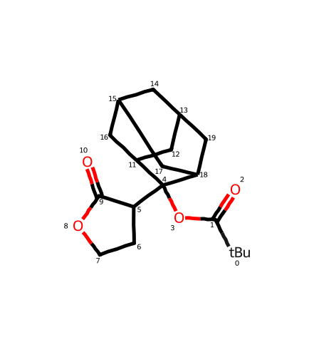 CC(C)(C)C(=O)OC1(C2CCOC2=O)C2CC3CC(C2)CC1C3